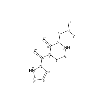 CC(C)CC1NCCN(C(=O)N2C=CON2)C1=O